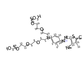 Cc1cc(N(CCOCCOCCOS(=O)(=O)O)CCOCCOS(=O)(=O)O)ccc1/N=N/c1sc(C#N)c(C)c1C#N